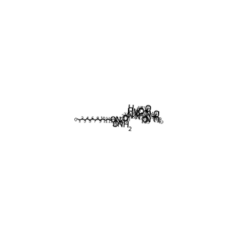 CCCCCCCCCCCCCCOC(=O)/N=C(\N)c1ccc(NCc2nc3cc(C(=O)N(CCC(=O)OCC)c4ccccn4)ccc3[nH]2)cc1